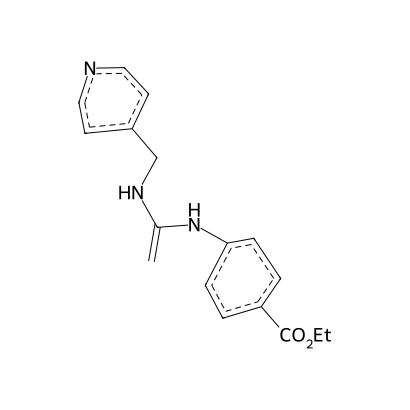 C=C(NCc1ccncc1)Nc1ccc(C(=O)OCC)cc1